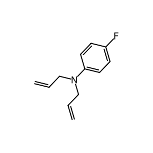 C=CCN(CC=C)c1ccc(F)cc1